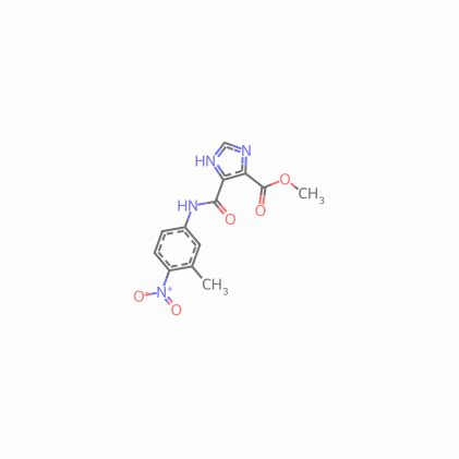 COC(=O)c1nc[nH]c1C(=O)Nc1ccc([N+](=O)[O-])c(C)c1